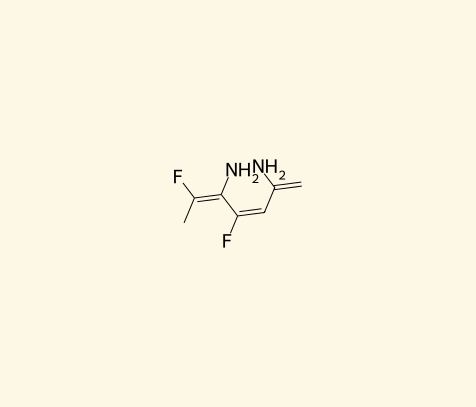 C=C(N)/C=C(F)\C(N)=C(/C)F